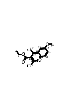 CCOC(=O)c1c(Cl)nc2ccc(OC)cc2c1Cl